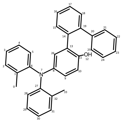 Cc1ccccc1N(c1ccc(O)c(-c2ccccc2-c2ccccc2)c1)c1ccccc1C